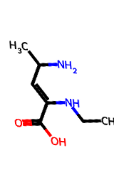 CCN/C(=C\C(C)N)C(=O)O